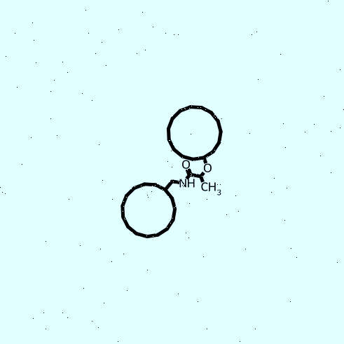 CC(OC1CCCCCCCCCCCCCC1)C(=O)NCC1CCCCCCCCCCCCCC1